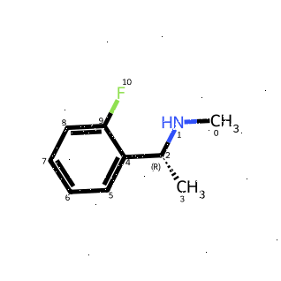 CN[C@H](C)c1ccccc1F